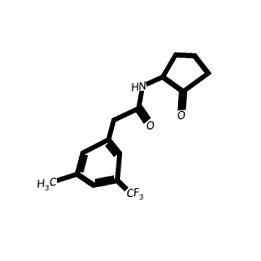 Cc1cc(CC(=O)NC2CCCC2=O)cc(C(F)(F)F)c1